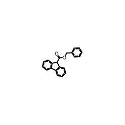 O=C(OCc1ccccc1)C1c2ccccc2-c2ccccc21